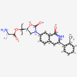 C[C@H](N)C(=O)OC(C)(C)[C@@H]1CN(c2ccc3cc(-c4ccccc4C(F)(F)F)[nH]c(=O)c3c2)C(=O)O1